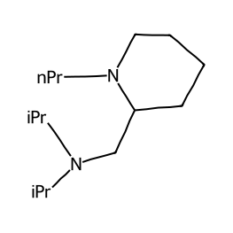 CCCN1CCCCC1CN(C(C)C)C(C)C